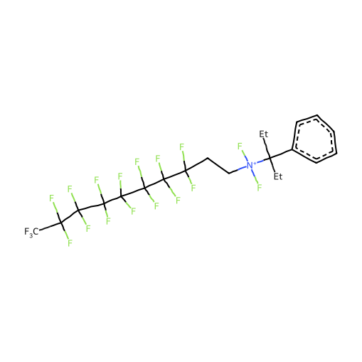 CCC(CC)(c1ccccc1)[N+](F)(F)CCC(F)(F)C(F)(F)C(F)(F)C(F)(F)C(F)(F)C(F)(F)C(F)(F)C(F)(F)F